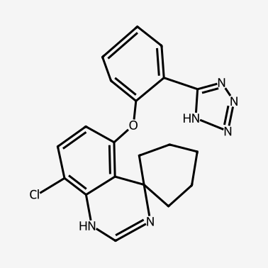 Clc1ccc(Oc2ccccc2-c2nnn[nH]2)c2c1NC=NC21CCCCC1